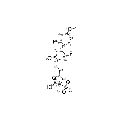 COc1ccc(C2=CC(=O)C(CCCC[C@](C)(C(=O)O)S(C)(=O)=O)C=C2F)c(F)c1